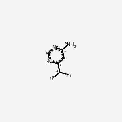 Nc1cc(C(F)F)ncn1